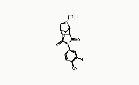 N#Cc1ccc(N2C(=O)C3C4CC(CN4C(=O)O)N3C2=O)cc1I